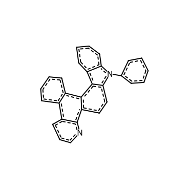 c1ccc(-n2c3ccccc3c3c4c5ccccc5c5cccnc5c4ccc32)cc1